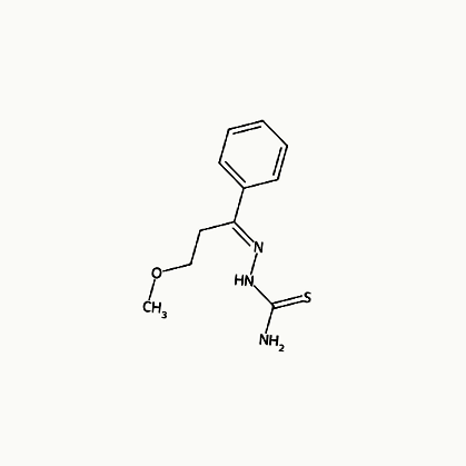 COCCC(=NNC(N)=S)c1ccccc1